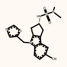 CN(C)S(=O)(=O)N[C@@H]1Cc2c(n(Cc3cncs3)c3ccc(C#N)cc23)C1